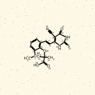 COc1cccc(/C=C/c2[nH]c(=S)[nH]c(=O)c2C#N)c1OC(C)(C)C(=O)O